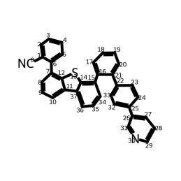 N#Cc1ccccc1-c1cccc2c1sc1c(-c3ccccc3-c3ccc(-c4cccnc4)cc3)cccc12